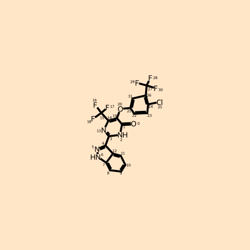 O=c1[nH]c(-c2n[nH]c3ccccc23)nc(C(F)(F)F)c1Oc1ccc(Cl)c(C(F)(F)F)c1